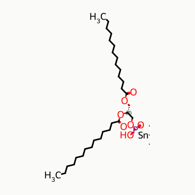 CCCCCCCCCCCCCC(=O)OC[C@H](CO[P](=O)(O)[Sn])OC(=O)CCCCCCCCCCCCC